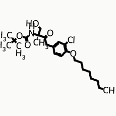 CCCCCCCCOc1ccc(CC(=O)[C@](C)(CO)NC(=O)OC(C)(C)C)cc1Cl